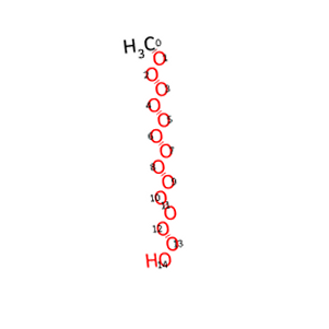 COOOOOOOOOOOOOO